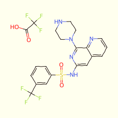 O=C(O)C(F)(F)F.O=S(=O)(Nc1cc2cccnc2c(N2CCNCC2)n1)c1cccc(C(F)(F)F)c1